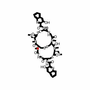 CSC[C@H]1C(=O)SCC(NC(=O)c2nc3ccccc3cc2O)C(=O)NCC(=O)N(C)C2CSSC[C@@H](C(=O)N1C)N(C)C(=O)CNC(=O)C(NC(=O)c1nc3ccccc3cc1O)CSC(=O)[C@H](CSC)N(C)C2O